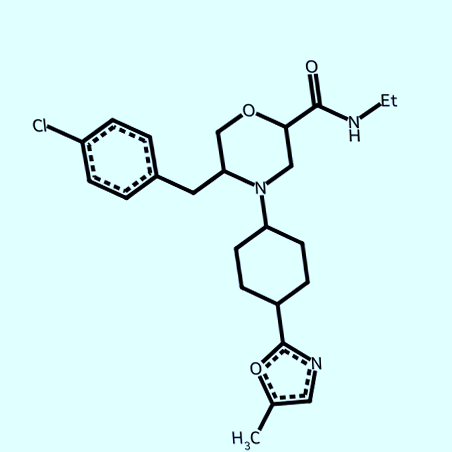 CCNC(=O)C1CN(C2CCC(c3ncc(C)o3)CC2)C(Cc2ccc(Cl)cc2)CO1